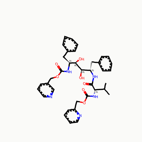 CC(C)[C@H](NC(=O)OCc1ccccn1)C(=O)N[C@@H](Cc1ccccc1)[C@@H](O)[C@H](O)[C@H](Cc1ccccc1)NC(=O)OCc1cccnc1